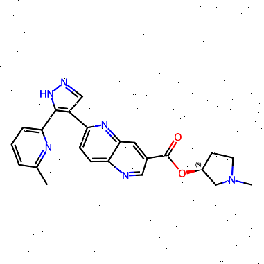 Cc1cccc(-c2[nH]ncc2-c2ccc3ncc(C(=O)O[C@H]4CCN(C)C4)cc3n2)n1